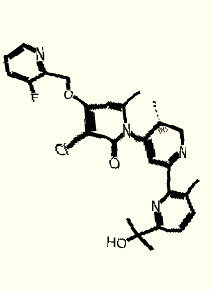 Cc1ccc(C(C)(C)O)nc1C1=NC[C@@H](C)C(n2c(C)cc(OCc3ncccc3F)c(Cl)c2=O)=C1